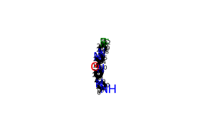 C[C@H]1CN(Cc2ccc(N(C)C(=O)c3ccc(N4CCC(F)(F)CC4)nc3)cc2)CCN1